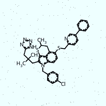 CC1Cc2c(SCc3ccc(-c4ccccc4)cn3)ccc3c2c(c(CC(C)(C)Cc2nnn[nH]2)n3Cc2ccc(Cl)cc2)S1